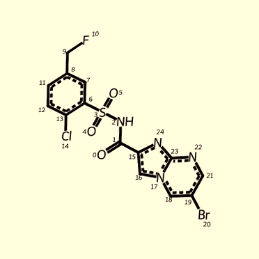 O=C(NS(=O)(=O)c1cc(CF)ccc1Cl)c1cn2cc(Br)cnc2n1